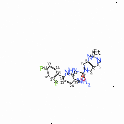 CCc1ncc2c(n1)CN(C(=O)Nc1nc(-c3ccc(F)cc3F)ccc1N)C2